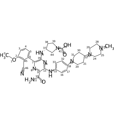 COc1cccc(-c2nc(C(N)=O)c(Nc3ccc(N4CCC(N5CCN(C)CC5)CC4)cc3)nc2N[C@@H]2CCN(C(=O)O)C2)c1C#N